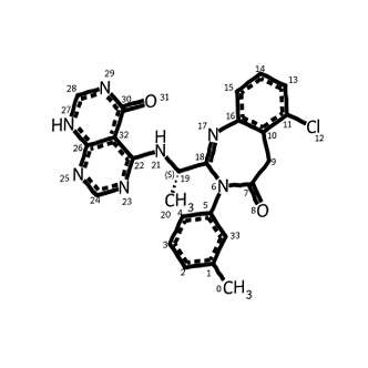 Cc1cccc(N2C(=O)Cc3c(Cl)cccc3N=C2[C@H](C)Nc2ncnc3[nH]cnc(=O)c23)c1